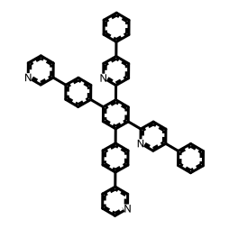 c1ccc(-c2ccc(-c3cc(-c4ccc(-c5ccccc5)cn4)c(-c4ccc(-c5cccnc5)cc4)cc3-c3ccc(-c4cccnc4)cc3)nc2)cc1